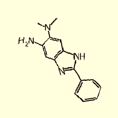 CN(C)c1cc2[nH]c(-c3ccccc3)nc2cc1N